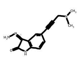 CN(C)CC#Cc1ccc2c(c1)/C(=N/N)C(=O)N2